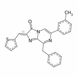 Cc1cccc(C2=CN3C(=O)/C(=C/c4cccs4)N=C3C(Cc3ccccc3)=N2)c1